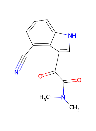 CN(C)C(=O)C(=O)c1c[nH]c2cccc(C#N)c12